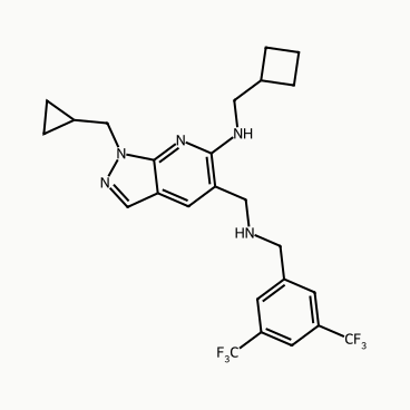 FC(F)(F)c1cc(CNCc2cc3cnn(CC4CC4)c3nc2NCC2CCC2)cc(C(F)(F)F)c1